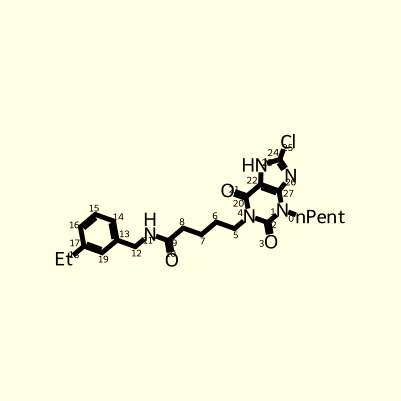 CCCCCn1c(=O)n(CCCCC(=O)NCc2cccc(CC)c2)c(=O)c2[nH]c(Cl)nc21